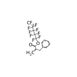 C=C(Cc1ccccc1)C(=O)OC(F)(F)C(F)(F)C(F)(F)C(F)(F)C(F)(F)F